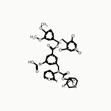 COc1ccc([C@H](Cc2c(Cl)c[n+]([O-])cc2Cl)OC(=O)c2cc(Br)cc(CN(C(=O)O[C@H]3CN4CCC3CC4)c3ccccc3F)c2)cc1OC.O=CO